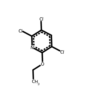 CCOc1nc(Cl)c(Cl)cc1Cl